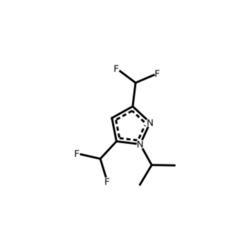 CC(C)n1nc(C(F)F)cc1C(F)F